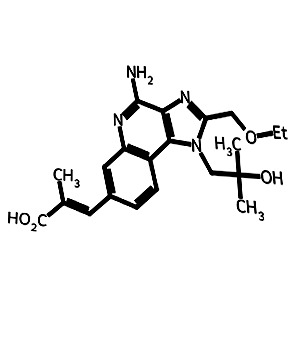 CCOCc1nc2c(N)nc3cc(C=C(C)C(=O)O)ccc3c2n1CC(C)(C)O